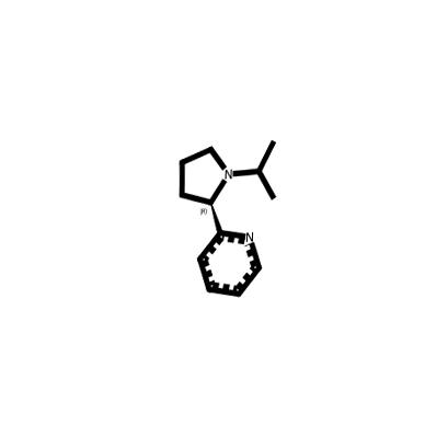 CC(C)N1CCC[C@@H]1c1ccccn1